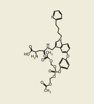 CC(=O)OCOP(=O)(OCOC(C)=O)Oc1ccc(Oc2ccc3c(c2)c(CNC(=O)CC(N)C(=O)O)cn3CCCCc2ccccn2)cc1